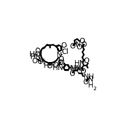 COc1cc2cc(c1Cl)N(C)C(=O)C[C@H](OC(=O)Nc1ccc(NC(=O)[C@H](CCCNC(N)=O)NC(=O)[C@@H](NC(=O)CCCCC(=O)ON3C(=O)CCC3=O)C(C)C)cc1Cl)[C@]1(C)O[C@H]1[C@H](C)[C@@H]1C[C@@](O)(NC(=O)O1)[C@H](OC)/C=C/C=C(\C)C2